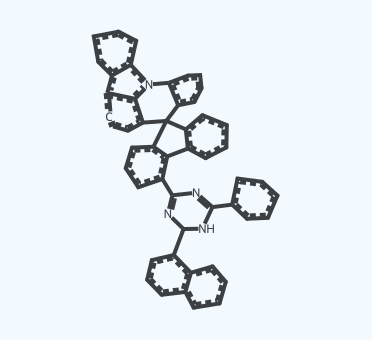 c1ccc(C2=NC(c3cccc4c3-c3ccccc3C43c4ccccc4-n4c5ccccc5c5cccc3c54)=NC(c3cccc4ccccc34)N2)cc1